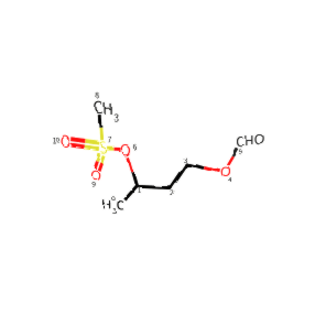 CC(CCOC=O)OS(C)(=O)=O